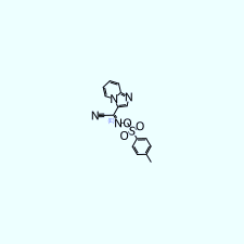 Cc1ccc(S(=O)(=O)O/N=C(/C#N)c2cnc3ccccn23)cc1